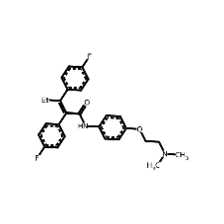 CCC(=C(C(=O)Nc1ccc(OCCN(C)C)cc1)c1ccc(F)cc1)c1ccc(F)cc1